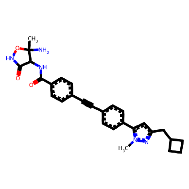 Cn1nc(CC2CCC2)cc1-c1ccc(C#Cc2ccc(C(=O)NC3C(=O)NOC3(C)N)cc2)cc1